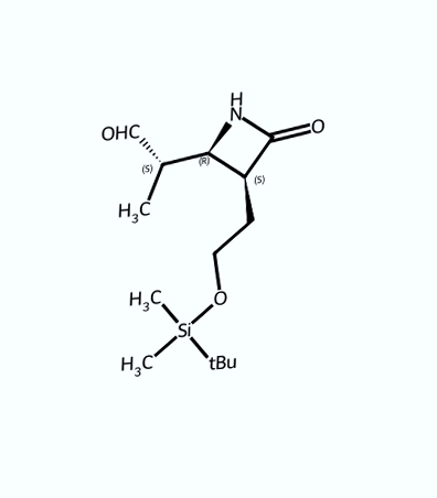 C[C@H](C=O)[C@H]1NC(=O)[C@H]1CCO[Si](C)(C)C(C)(C)C